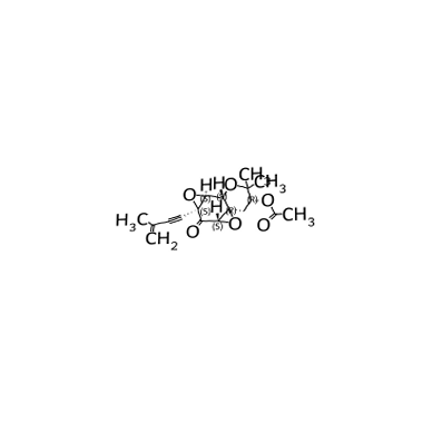 C=C(C)C#C[C@]12O[C@H]1[C@@H]1OC(C)(C)[C@H](OC(C)=O)C[C@@]13O[C@@H]3C2=O